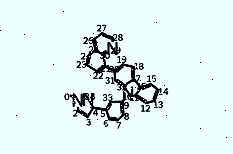 Cn1ccc(-c2cccc(-n3c4ccccc4c4ccc(-c5cccc6cccnc56)cc43)c2)n1